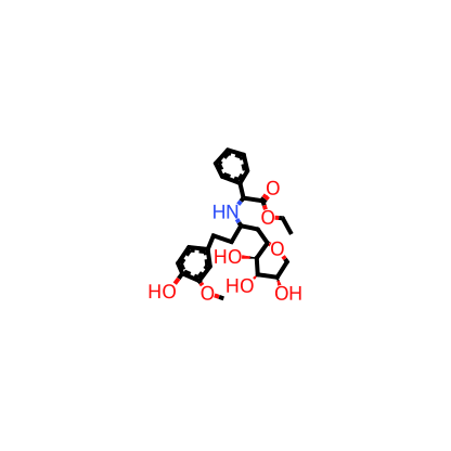 CCOC(=O)C(NC(CCc1ccc(O)c(OC)c1)CC1OC[C@@H](O)[C@H](O)[C@H]1O)c1ccccc1